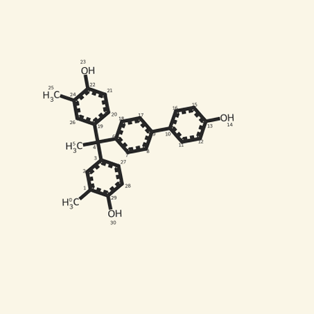 Cc1cc(C(C)(c2ccc(-c3ccc(O)cc3)cc2)c2ccc(O)c(C)c2)ccc1O